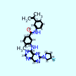 C=C(C)c1cccc(NC(=O)c2ccc(C)c(Nc3ncnc4cnc(N5CC[C@@H](F)C5)nc34)c2)c1